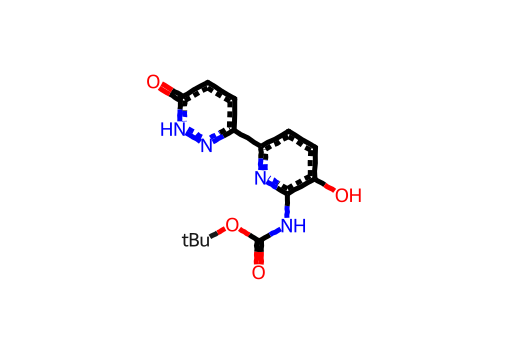 CC(C)(C)OC(=O)Nc1nc(-c2ccc(=O)[nH]n2)ccc1O